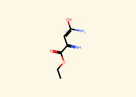 CCOC(=O)C(=N)/C=C(\N)O